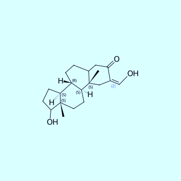 C[C@]12C/C(=C/O)C(=O)CC1CC[C@@H]1[C@@H]2CC[C@]2(C)C(O)CC[C@@H]12